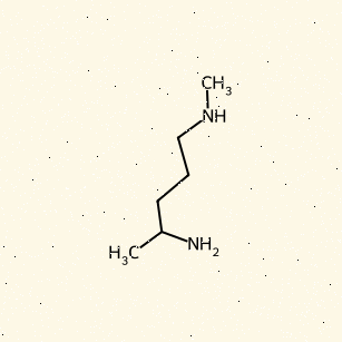 CNCCCC(C)N